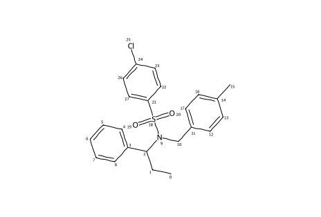 CCC(c1ccccc1)N(Cc1ccc(C)cc1)S(=O)(=O)c1ccc(Cl)cc1